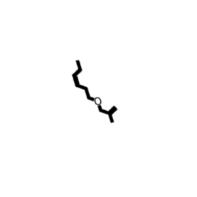 C=C(C)COCC/C=C\CC